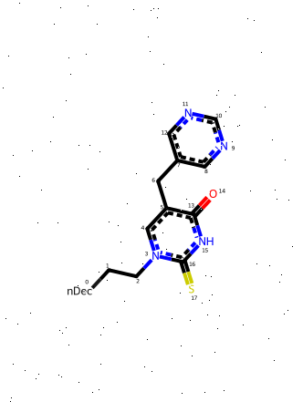 CCCCCCCCCCCCn1cc(Cc2cncnc2)c(=O)[nH]c1=S